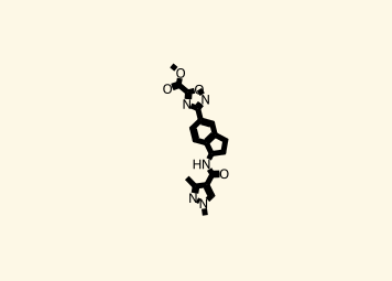 COC(=O)c1nc(-c2ccc3c(c2)CCC3NC(=O)c2cn(C)nc2C)no1